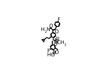 CS(=O)(=O)N(Cc1cc(F)c2c(c1)COB2O)c1cc2oc(-c3ccc(F)cc3)c(C(N)=O)c2cc1CCC1CC1